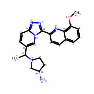 COc1cccc2ccc(-c3nnc4ccc(C(C)N5CC[C@H](N)C5)cn34)nc12